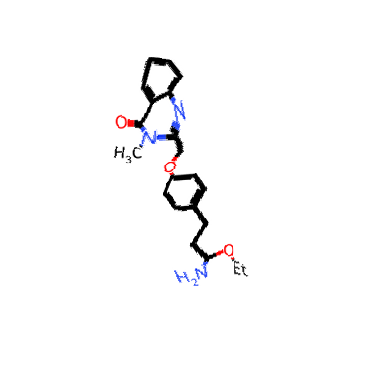 CCOC(N)CCc1ccc(OCc2nc3ccccc3c(=O)n2C)cc1